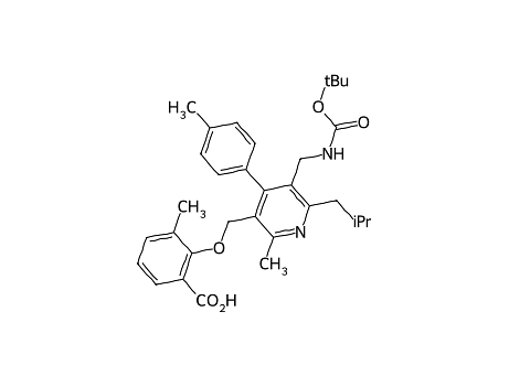 Cc1ccc(-c2c(COc3c(C)cccc3C(=O)O)c(C)nc(CC(C)C)c2CNC(=O)OC(C)(C)C)cc1